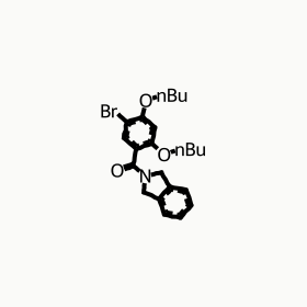 CCCCOc1cc(OCCCC)c(C(=O)N2Cc3ccccc3C2)cc1Br